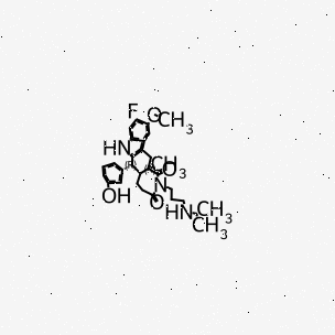 COc1cc2c3c([nH]c2cc1F)[C@@H](c1cccc(O)c1)C1CCC(=O)N(CCCNC(C)C)C(=O)[C@]1(C)C3